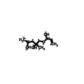 C=CB(O)OCC(C)(O)CC(C)O